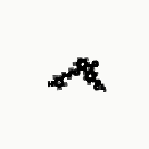 COc1ccc2c(c1)C(=O)c1cccc(OCCCC3CCNC3)c1-2